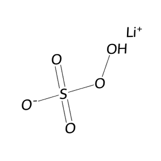 O=S(=O)([O-])OO.[Li+]